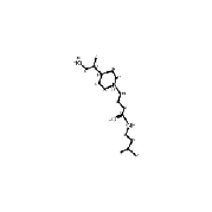 CC(C)CCNC(=O)CCCN1CCC(C(C)CO)CC1